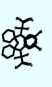 C=C(Br)C(F)(F)C(c1ccc(Cl)cc1)C1(SC2(C(c3ccc(Cl)cc3)C(F)(F)C(=C)Br)CCCCC2)CCCCC1